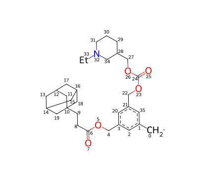 [CH2]c1cc(COC(=O)CCC23CC4CC(CC(C4)C2)C3)cc(COC(=O)OCC2CCCN(CC)C2)c1